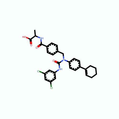 CC(NC(=O)c1ccc(CN(C(=O)Nc2cc(Cl)cc(Cl)c2)c2ccc(C3=CCCCC3)cc2)cc1)C(=O)O